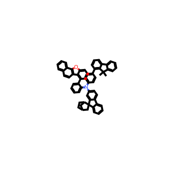 CC1(C)c2ccccc2-c2cccc(-c3ccc(N(c4ccc5c(c4)C4(CC6CCC4C6)c4ccccc4-5)c4ccccc4-c4cccc5oc6c7ccccc7ccc6c45)cc3)c21